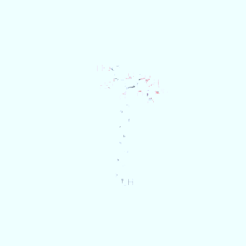 CCCCCCCCCCCOC1=C(OP(=O)(O)O)C(=O)O[C@@H]1[C@@H](O)CO